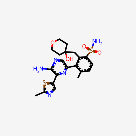 Cc1ncc(-c2nc(-c3c(C)ccc(S(N)(=O)=O)c3CC3(O)CCOCC3)cnc2N)s1